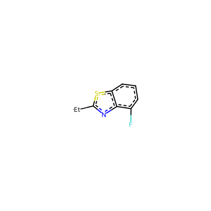 C[CH]c1nc2c(F)cccc2s1